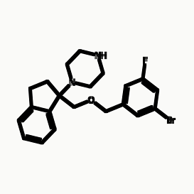 Fc1cc(Br)cc(COCC2(N3CCNCC3)CCc3ccccc32)c1